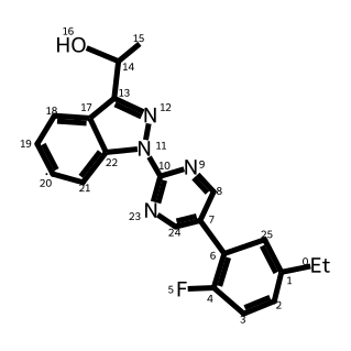 CCc1ccc(F)c(-c2cnc(-n3nc(C(C)O)c4cc[c]cc43)nc2)c1